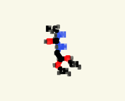 CNC(=O)NCC(OC)OC